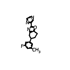 Cc1cc(F)cc(C2CCc3oc(-c4cnccn4)nc3C2)c1